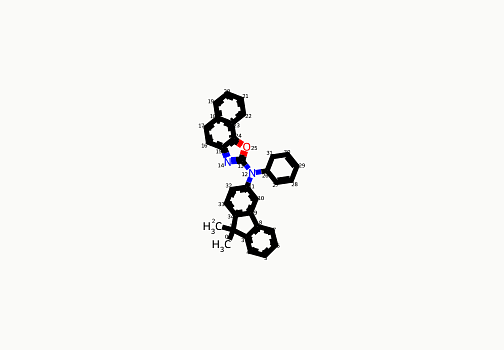 CC1(C)c2ccccc2-c2cc(N(c3nc4ccc5ccccc5c4o3)C3C=CC=CC3)ccc21